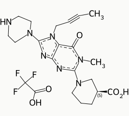 CC#CCn1c(N2CCNCC2)nc2nc(N3CCC[C@H](C(=O)O)C3)n(C)c(=O)c21.O=C(O)C(F)(F)F